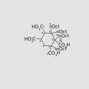 CCCCCCCCC1(C(=O)O)CC(C(=O)O)C(C(=O)O)C(CCCCCCCC)(CCCCCCCC)C1(CCCCCCCC)C(=O)O